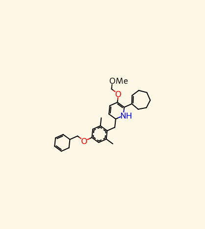 COCOC1=C(C2=CCCCCC2)NC(Cc2c(C)cc(OCC3C=CC=CC3)cc2C)C=C1